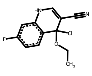 CCOC1(Cl)C(C#N)=CNc2cc(F)ccc21